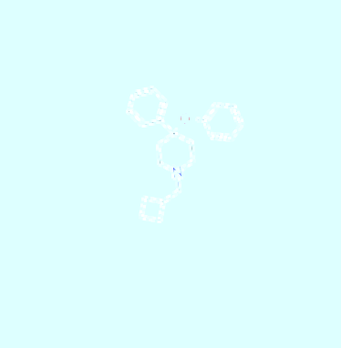 c1ccc(OC2(c3ccccc3)CCN(CC3CCC3)CC2)cc1